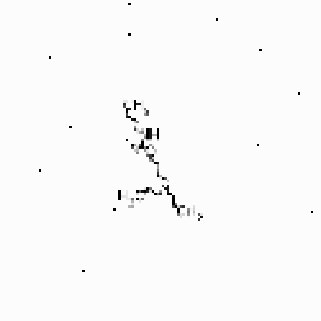 C=CCN(CC=C)CCCCOC(=S)NCCCC